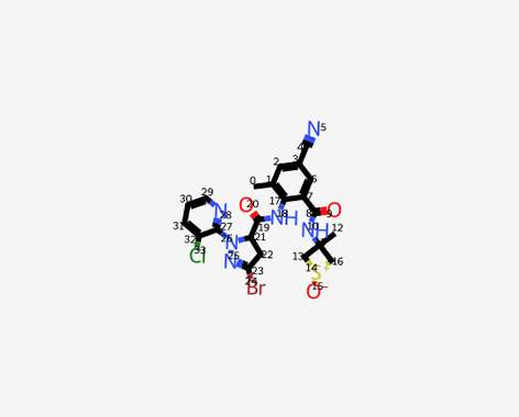 Cc1cc(C#N)cc(C(=O)NC2(C)C[S+]([O-])C2)c1NC(=O)C1CC(Br)=NN1c1ncccc1Cl